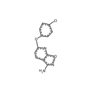 Nc1noc2nc(Oc3ccc(Cl)cc3)ccc12